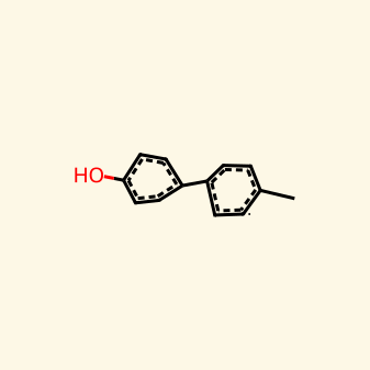 Cc1[c]cc(-c2ccc(O)cc2)cc1